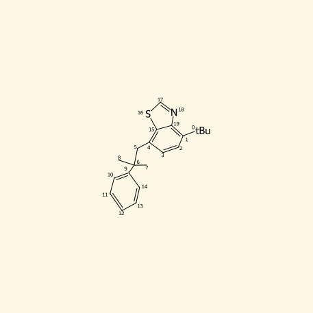 CC(C)(C)c1ccc(CC(C)(C)c2ccccc2)c2scnc12